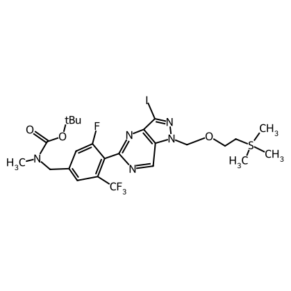 CN(Cc1cc(F)c(-c2ncc3c(n2)c(I)nn3COCCS(C)(C)C)c(C(F)(F)F)c1)C(=O)OC(C)(C)C